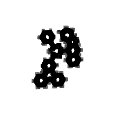 c1ccc(-c2nc(-c3ccc4c5ccccc5c5ccccc5c4c3)nc(-c3c4ccccc4cc4sc5ccccc5c34)n2)cc1